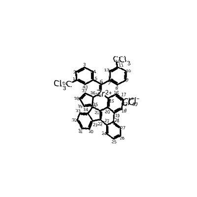 ClC(Cl)(Cl)c1cccc([C](c2cccc(C(Cl)(Cl)Cl)c2)=[Zr+2]([c]2cccc3c2c2c(c4ccccc43)-c3ccccc3C2)[CH]2C=CC=C2)c1.[Cl-].[Cl-]